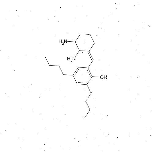 CCCCc1cc(/C=C2/CCCC(N)C2N)c(O)c(CCCC)c1